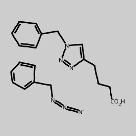 O=C(O)CCCc1cn(Cc2ccccc2)nn1.[N-]=[N+]=NCc1ccccc1